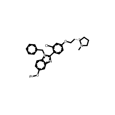 CC(C)Oc1ccc2c(c1)nc(-c1ccc(OCC[C@@H]3CCCN3C)cc1Cl)n2Cc1ccccc1